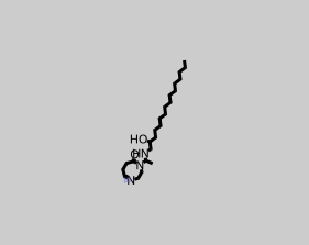 CCCCCCCCCCCCCCC(O)CNC(C)N1CC/N=C\CCC1=O